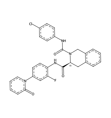 O=C(Nc1ccc(-n2ccccc2=O)cc1F)[C@@H]1Cc2ccccc2CN1C(=O)Nc1ccc(Cl)cc1